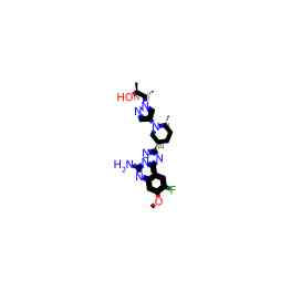 COc1cc2nc(N)n3nc([C@H]4CC[C@@H](C)N(c5cnn([C@@H](C)[C@H](C)O)c5)C4)nc3c2cc1F